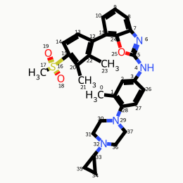 Cc1cc(Nc2nc3cccc(-c4ccc(S(C)(=O)=O)c(C)c4C)c3o2)ccc1N1CCN(C2CC2)CC1